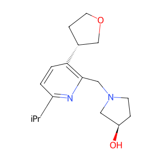 CC(C)c1ccc([C@@H]2CCOC2)c(CN2CC[C@@H](O)C2)n1